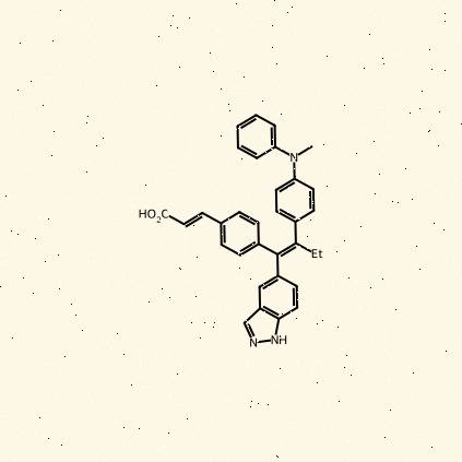 CC/C(=C(/c1ccc(/C=C/C(=O)O)cc1)c1ccc2[nH]ncc2c1)c1ccc(N(C)c2ccccc2)cc1